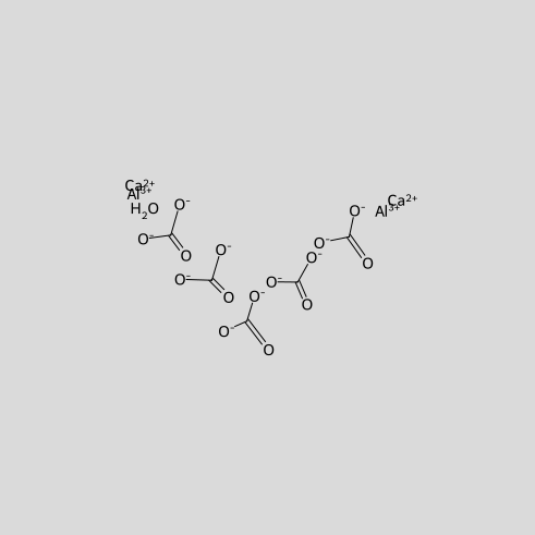 O.O=C([O-])[O-].O=C([O-])[O-].O=C([O-])[O-].O=C([O-])[O-].O=C([O-])[O-].[Al+3].[Al+3].[Ca+2].[Ca+2]